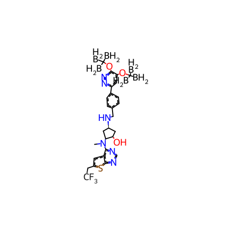 BC(B)(B)Oc1cc(-c2ccc(CN[C@H]3C[C@@H](O)[C@@H](N(C)c4ncnc5sc(CC(F)(F)F)cc45)C3)cc2)nnc1OC(B)(B)B